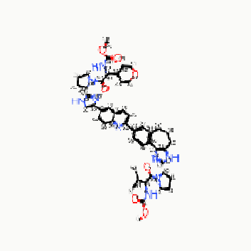 COC(=O)NC(C(=O)N1CCC[C@H]1c1nc2c([nH]1)CCCc1cc(-c3ccc4cc(-c5c[nH]c([C@@H]6CCCN6C(=O)[C@@H](NC(=O)OC)C6CCOCC6)n5)ccc4n3)ccc1-2)C(C)C